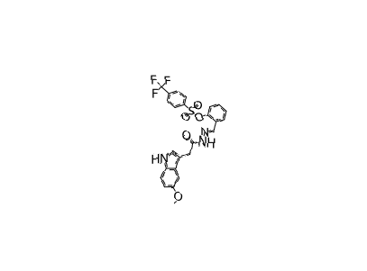 COc1ccc2[nH]cc(CC(=O)NN=Cc3ccccc3OS(=O)(=O)c3ccc(C(F)(F)F)cc3)c2c1